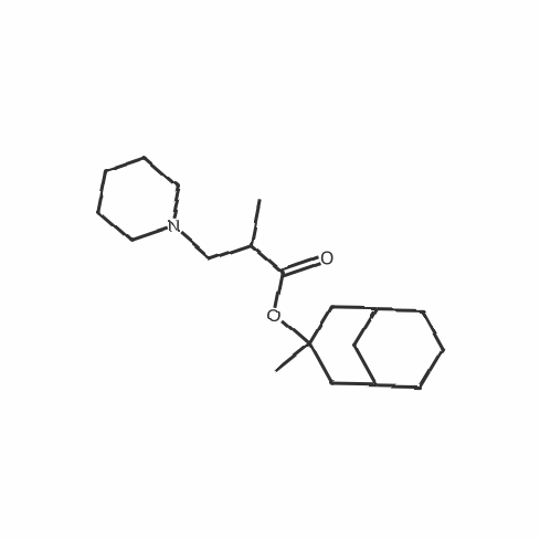 CC(CN1CCCCC1)C(=O)OC1(C)CC2CCCC(C2)C1